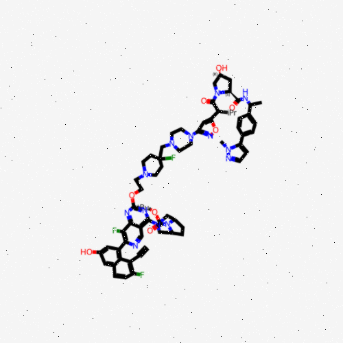 C#Cc1c(F)ccc2cc(O)cc(-c3ncc4c(N5CC6CCC(C5)N6C(=O)OC(C)(C)C)nc(OCCN5CCC(F)(CN6CCN(c7cc(C(C(=O)N8C[C@H](O)C[C@H]8C(=O)NC(C)c8ccc(-c9ccnn9C)cc8)C(C)C)on7)CC6)CC5)nc4c3F)c12